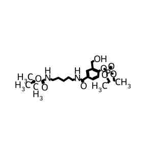 CCOP(=O)(OCC)Oc1ccc(C(=O)NCCCCCNC(=O)OC(C)(C)C)cc1CO